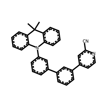 CC1(C)c2ccccc2N(c2cccc(-c3cccc(-c4ccnc(C#N)c4)c3)c2)c2ccccc21